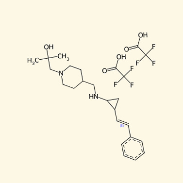 CC(C)(O)CN1CCC(CNC2CC2/C=C/c2ccccc2)CC1.O=C(O)C(F)(F)F.O=C(O)C(F)(F)F